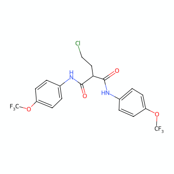 O=C(Nc1ccc(OC(F)(F)F)cc1)C(CCCl)C(=O)Nc1ccc(OC(F)(F)F)cc1